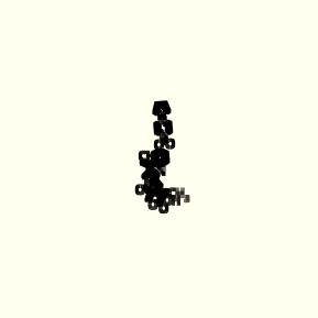 CCc1c2c(nc3ccc(OC(=O)N4CCN(N5CCCC5)CC4)cc13)-c1cc3c(c(=O)n1C2)COC(=O)[C@]3(O)CC